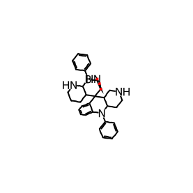 c1ccc(B2C3NCCCC3C3(c4ccccc4N(c4ccccc4)C4CCNCC43)C3CCCNC23)cc1